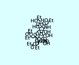 CCC(=O)O[C@H](CC)CC(=O)NC1[C@H](OCC2OC(O)C(NC(=O)C[C@H](O)CC)[C@@H](OC(=O)C[C@H](O)CC)[C@@H]2O)OC(CO)[C@@H](OP(=O)(O)O)[C@@H]1OC(=O)C[C@@H](CC)OC(=O)CC